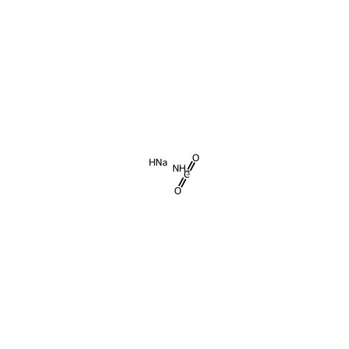 N.O=C=O.[NaH]